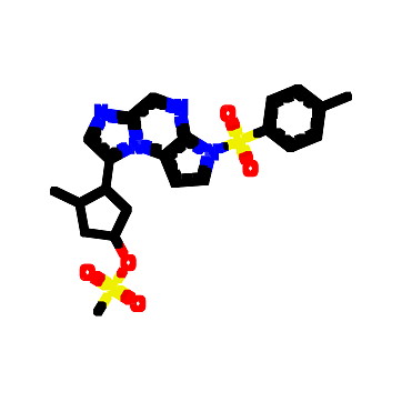 Cc1ccc(S(=O)(=O)n2ccc3c2ncc2ncc(C4CC(OS(C)(=O)=O)CC4C)n23)cc1